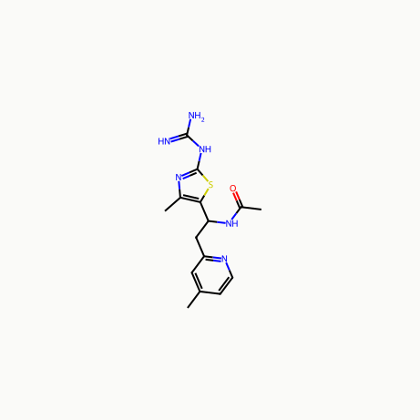 CC(=O)NC(Cc1cc(C)ccn1)c1sc(NC(=N)N)nc1C